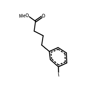 COC(=O)CCCc1cccc(I)c1